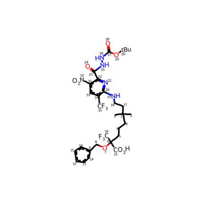 CC(C)(CCCC(OCc1ccccc1)(C(=O)O)C(F)(F)F)CCNc1nc(C(=O)NNC(=O)OC(C)(C)C)c([N+](=O)[O-])cc1C(F)(F)F